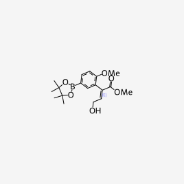 COC(=O)/C(=C/CO)c1cc(B2OC(C)(C)C(C)(C)O2)ccc1OC